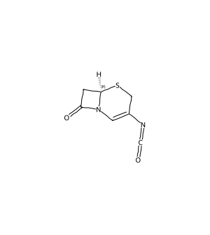 O=C=NC1=CN2C(=O)C[C@H]2SC1